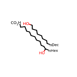 CCCCCCC(O)CCCCCCCCCCC(=O)O.CCCCCCCCCCCCCCCCCCO